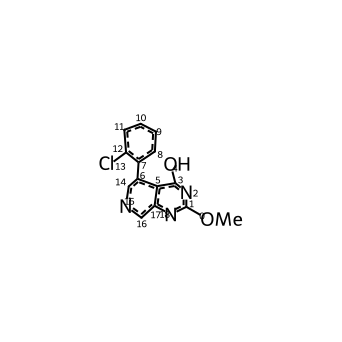 COc1nc(O)c2c(-c3ccccc3Cl)cncc2n1